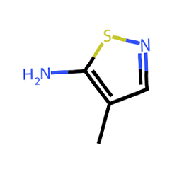 Cc1cnsc1N